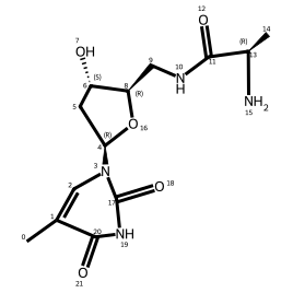 Cc1cn([C@H]2C[C@H](O)[C@@H](CNC(=O)[C@@H](C)N)O2)c(=O)[nH]c1=O